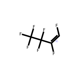 F/C=C(/F)C(F)(F)C(F)(F)F